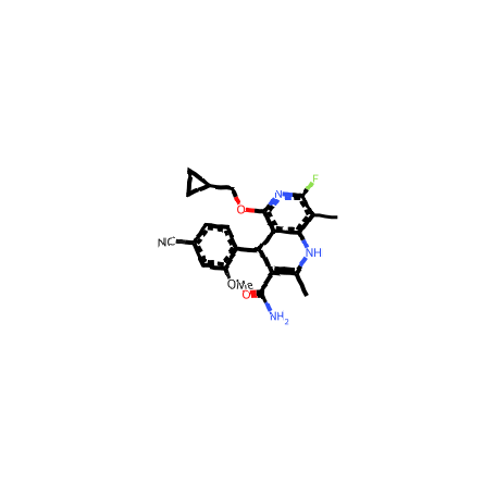 COc1cc(C#N)ccc1C1C(C(N)=O)=C(C)Nc2c(C)c(F)nc(OCC3CC3)c21